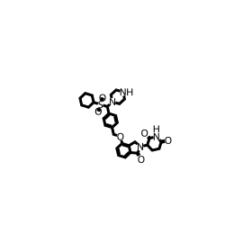 O=C1CCC(N2Cc3c(OCc4ccc(C(N5CCNCC5)S(=O)(=O)C5CCCCC5)cc4)cccc3C2=O)C(=O)N1